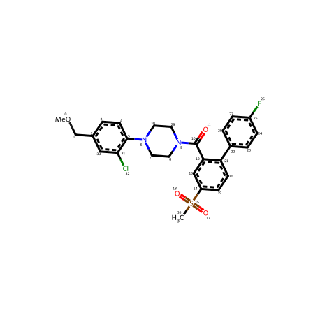 COCc1ccc(N2CCN(C(=O)c3cc(S(C)(=O)=O)ccc3-c3ccc(F)cc3)CC2)c(Cl)c1